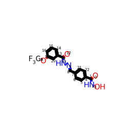 O=C(NO)c1ccc(/C=N/NC(=O)c2cccc(OC(F)(F)F)c2)cc1